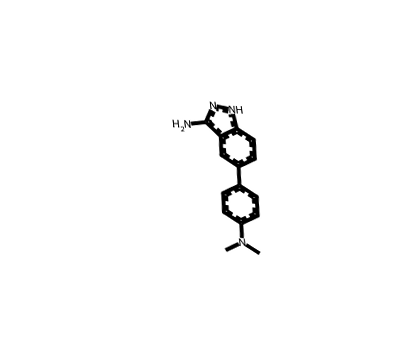 CN(C)c1ccc(-c2ccc3[nH]nc(N)c3c2)cc1